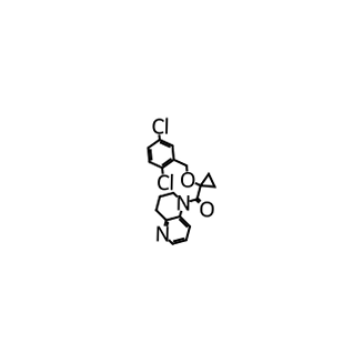 O=C(N1CCCc2ncccc21)C1(OCc2cc(Cl)ccc2Cl)CC1